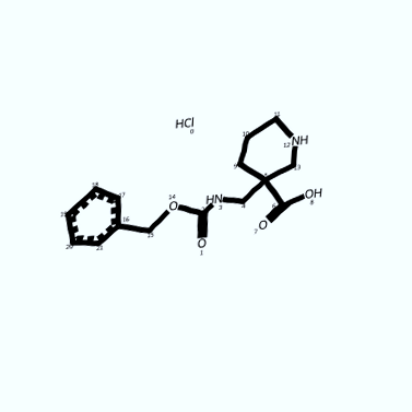 Cl.O=C(NCC1(C(=O)O)CCCNC1)OCc1ccccc1